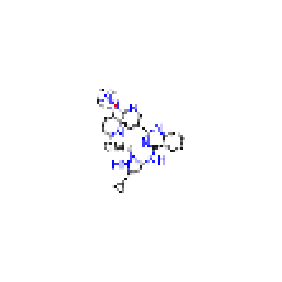 COc1ccc(CN2C3CC2CN(c2ccc(-c4nc(Nc5cc(C6CC6)[nH]n5)c5ccccc5n4)cn2)C3)cn1